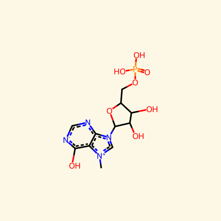 C[n+]1cn(C2OC(COP(=O)(O)O)C(O)C2O)c2ncnc(O)c21